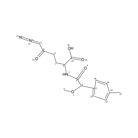 COC(C(=O)NC(CCC(=O)C=[N+]=[N-])C(=O)O)c1ccc(C)cc1